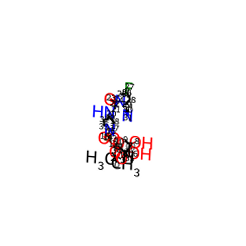 CC1(C)O[C@H]2[C@H](O)[C@H](O)CO[C@@]2(COS(=O)N2CCC(NCC(=O)N3C[C@@H](F)C[C@H]3C#N)CC2)O1